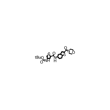 Cn1cc(NC(=O)OC(C)(C)C)cc1C(=O)Nc1ccc2sc(C(=O)N3CCOCC3)cc2c1